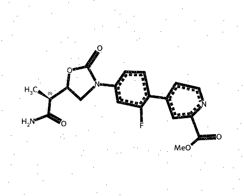 COC(=O)c1cc(-c2ccc(N3CC([C@H](C)C(N)=O)OC3=O)cc2F)ccn1